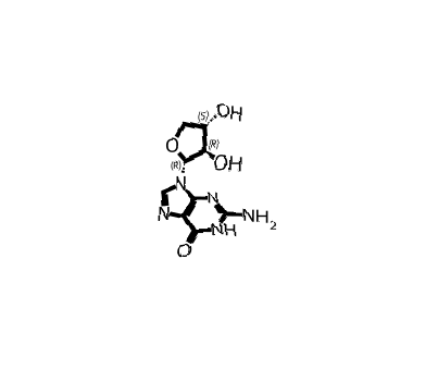 Nc1nc2c(ncn2[C@@H]2OC[C@H](O)[C@H]2O)c(=O)[nH]1